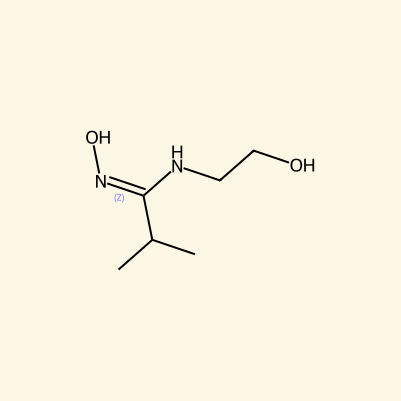 CC(C)/C(=N/O)NCCO